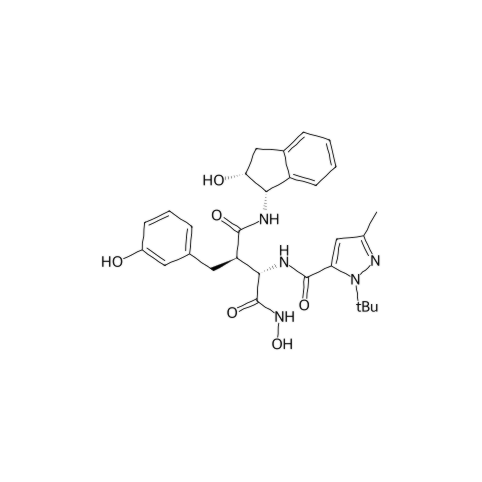 Cc1cc(C(=O)N[C@H](C(=O)NO)[C@@H](Cc2cccc(O)c2)C(=O)N[C@H]2c3ccccc3C[C@H]2O)n(C(C)(C)C)n1